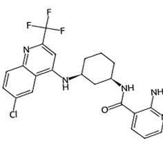 Nc1ncccc1C(=O)N[C@@H]1CCC[C@H](Nc2cc(C(F)(F)F)nc3ccc(Cl)cc23)C1